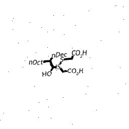 CCCCCCCCCCC(CCCCCCCC)C(O)[SH](CC(=O)O)SCC(=O)O